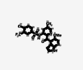 COc1cnc2[nH]ccc2c1C(=O)c1ncc(C)cc1NS(=O)(=O)c1ccc(Cl)c(C(F)(F)F)c1